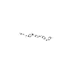 C=CC(=O)OCCCCOc1ccc(C(=O)Oc2ccc(C(=O)Oc3ccc(OC(=O)c4ccc(OC)cc4)cc3C)cc2)cc1